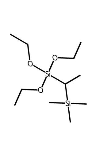 CCO[Si](OCC)(OCC)C(C)[Si](C)(C)C